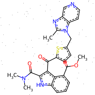 COC(=O)c1cccc2[nH]c(C(=O)N(C)C)c(C(=O)c3ccc(Cn4c(C)nc5cnccc54)s3)c12